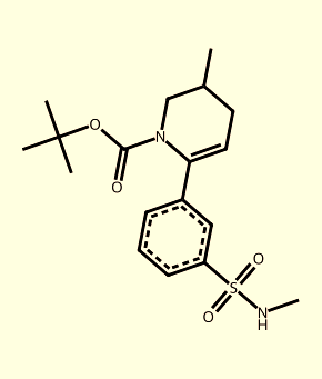 CNS(=O)(=O)c1cccc(C2=CCC(C)CN2C(=O)OC(C)(C)C)c1